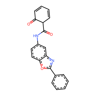 O=C1C=CC=CC1C(=O)Nc1ccc2oc(-c3ccccc3)nc2c1